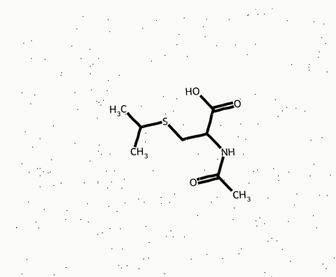 CC(=O)NC(CSC(C)C)C(=O)O